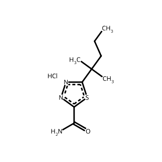 CCCC(C)(C)c1nnc(C(N)=O)s1.Cl